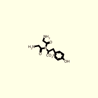 NCC(=O)N(C(=O)CN)C(Cc1ccc(O)cc1)C(=O)O